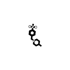 CC1CCN(Cc2ccc(S(C)(=O)=O)cc2)CC1